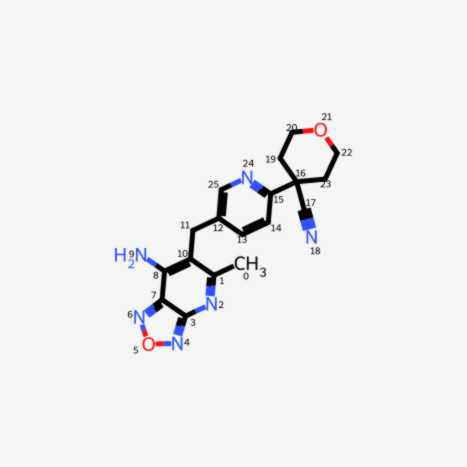 Cc1nc2nonc2c(N)c1Cc1ccc(C2(C#N)CCOCC2)nc1